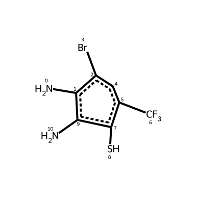 Nc1c(Br)cc(C(F)(F)F)c(S)c1N